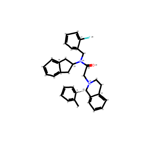 Cc1ccccc1[C@H]1c2ccccc2CCN1CC(=O)N(Cc1ccccc1F)C1Cc2ccccc2C1